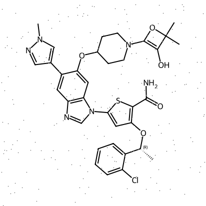 C[C@@H](Oc1cc(-n2cnc3cc(-c4cnn(C)c4)c(OC4CCN(C5=C(O)C(C)(C)O5)CC4)cc32)sc1C(N)=O)c1ccccc1Cl